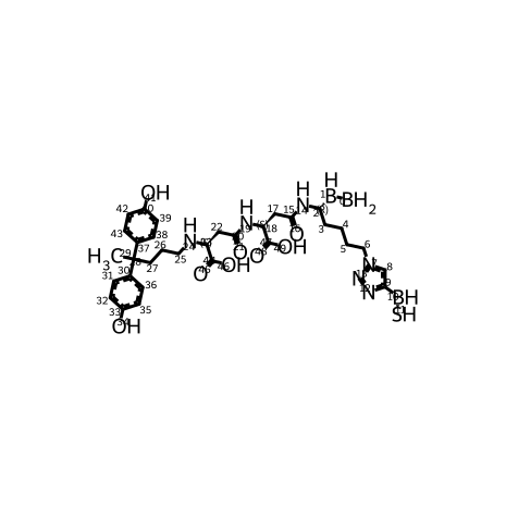 BB[C@H](CCCCn1cc(BS)nn1)NC(=O)C[C@H](NC(=O)C[C@H](NCCCC(C)(c1ccc(O)cc1)c1ccc(O)cc1)C(=O)O)C(=O)O